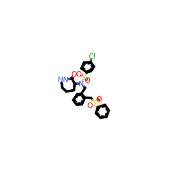 O=C1NCCCCC1N(Cc1ccccc1CS(=O)(=O)c1ccccc1)S(=O)(=O)c1ccc(Cl)cc1